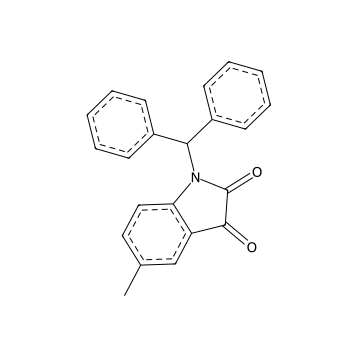 Cc1ccc2c(c1)C(=O)C(=O)N2C(c1ccccc1)c1ccccc1